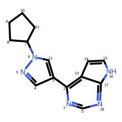 c1nc(-c2cnn(C3CCCC3)c2)c2cc[nH]c2n1